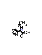 CO/N=C(/C(=O)O)c1cs[c]n1